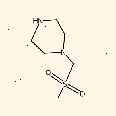 CS(=O)(=O)[CH]N1CCNCC1